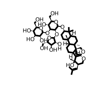 CC(C)=C[C@@H]1CO[C@]23C[C@]4(CO2)[C@H](CC[C@@H]2[C@]5(C)CC[C@H](O[C@@H]6O[C@H](CO)[C@@H](O)[C@H](O[C@@H]7O[C@H](CO)[C@@H](O)[C@H](O)[C@H]7O)[C@H]6O[C@@H]6O[C@@H](CO)[C@H](O)[C@H]6O)C(C)(C)[C@H]5CC[C@]24C)[C@H]3[C@@]1(C)O